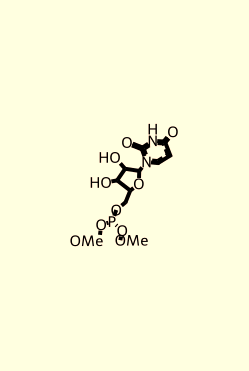 COOP(OCC1OC(n2ccc(=O)[nH]c2=O)C(O)C1O)OOC